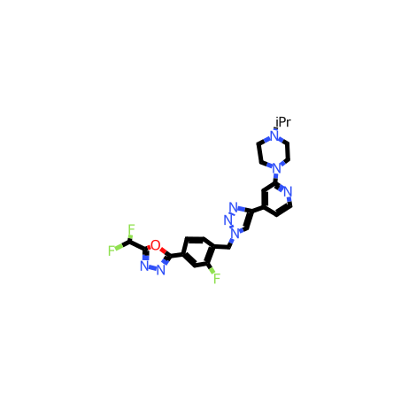 CC(C)N1CCN(c2cc(-c3cn(Cc4ccc(-c5nnc(C(F)F)o5)cc4F)nn3)ccn2)CC1